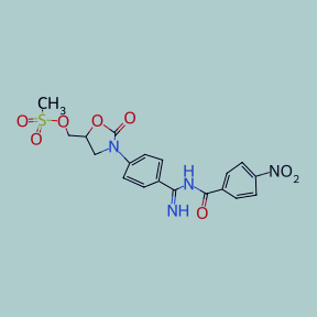 CS(=O)(=O)OCC1CN(c2ccc(C(=N)NC(=O)c3ccc([N+](=O)[O-])cc3)cc2)C(=O)O1